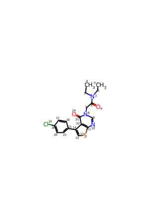 CCN(CC)C(=O)Cn1cnc2scc(-c3ccc(Cl)cc3)c2c1=O